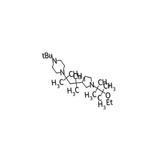 CCOC(C)(C)C(C)(C)N1CCC(C(C)(C)CC(C)(C)N2CCN(C(C)(C)C)CC2)C1